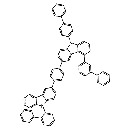 c1ccc(-c2ccc(-n3c4ccc(-c5ccc(-c6ccc7c(c6)c6ccccc6n7-c6ccccc6-c6ccccc6)cc5)cc4c4c(-c5cccc(-c6ccccc6)c5)cccc43)cc2)cc1